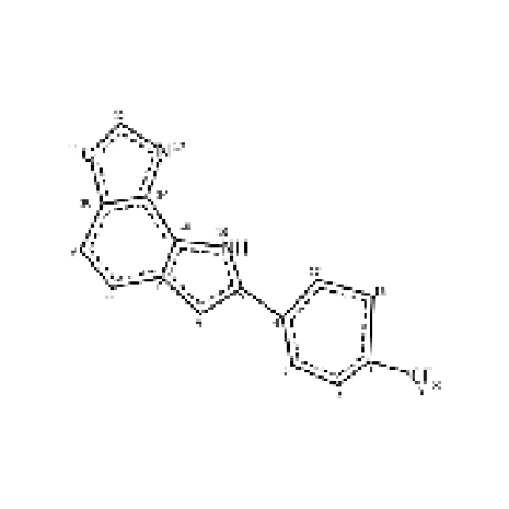 FC(F)(F)c1ccc(-c2cc3ccc4ocnc4c3[nH]2)cc1